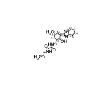 C=CCNC(=O)C(=O)NCc1cc(C)cc(-n2nc3ccccc3n2)c1O